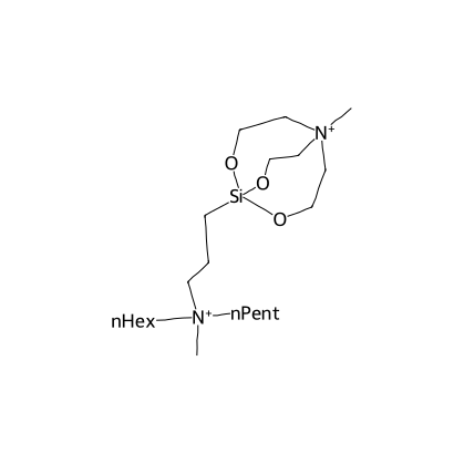 CCCCCC[N+](C)(CCCCC)CCC[Si]12OCC[N+](C)(CCO1)CCO2